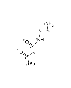 CC(C)(C)C(=O)CC(=O)NCCN